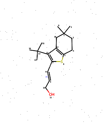 CC1(C)CCc2sc(/C=C/CO)c(C(C)(C)C)c2C1